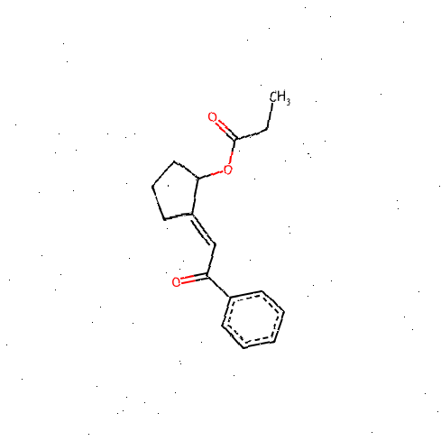 CCC(=O)OC1CCCC1=CC(=O)c1ccccc1